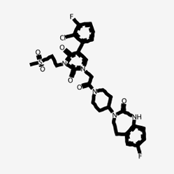 CS(=O)(=O)CCn1c(=O)c(-c2cccc(F)c2Cl)cn(CC(=O)N2CCC(N3CCc4cc(F)ccc4NC3=O)CC2)c1=O